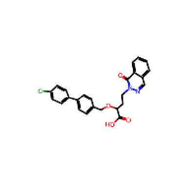 O=C(O)C(CCn1ncc2ccccc2c1=O)OCc1ccc(-c2ccc(Cl)cc2)cc1